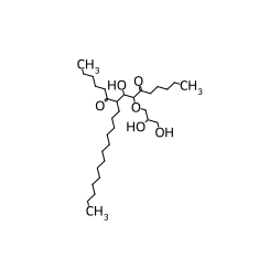 CCCCCCCCCCCCCC(C(=O)CCCCC)C(O)C(OCC(O)CO)C(=O)CCCCC